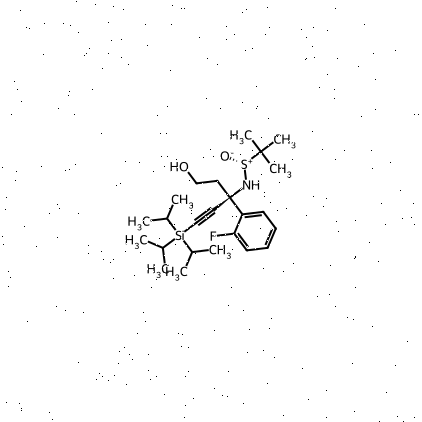 CC(C)[Si](C#C[C@@](CCO)(N[S@+]([O-])C(C)(C)C)c1ccccc1F)(C(C)C)C(C)C